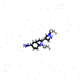 Cn1cc(-c2cc3cc(C#N)ccc3n2C)cn1